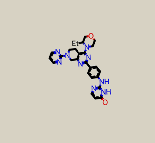 CCC1COCCN1c1nc(-c2ccc(Nc3nccc(=O)[nH]3)cc2)nc2c1CCN(c1ncccn1)C2